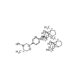 CC1(C)C2CC[C@]1(C)C(=O)C2S(=O)(=O)O.CC1(C)C2CC[C@]1(C)C(=O)C2S(=O)(=O)O.CCCN1C[C@@H](c2ccc(N)nc2)OC[C@@H]1C